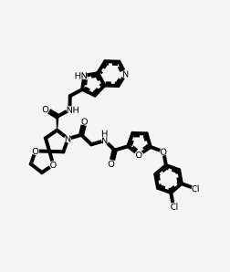 O=C(NCC(=O)N1CC2(C[C@H]1C(=O)NCc1cc3cnccc3[nH]1)OCCO2)c1ccc(Oc2ccc(Cl)c(Cl)c2)o1